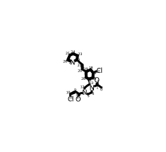 CC(=O)N1CCN(C(=O)/C=C\Cl)C[C@H]1c1cc(Cl)cc(/C=C/c2ccccn2)c1